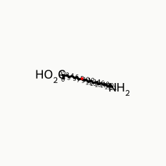 C=C(CCCCCCCCCCCCCCCCCCCN)C(=O)O